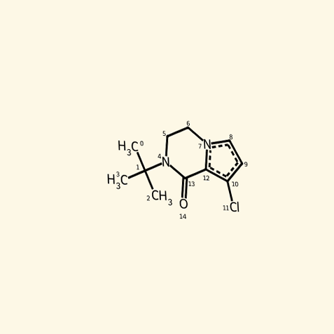 CC(C)(C)N1CCn2ccc(Cl)c2C1=O